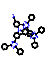 N#Cc1ccc(-n2c3ccc(-c4nc(-c5ccccc5)nc(-c5ccccc5)n4)cc3c3cc(-c4nc(-c5ccccc5)nc(-c5ccccc5)n4)ccc32)c(-c2nc(-c3ccccc3)nc(-c3ccccc3)n2)c1